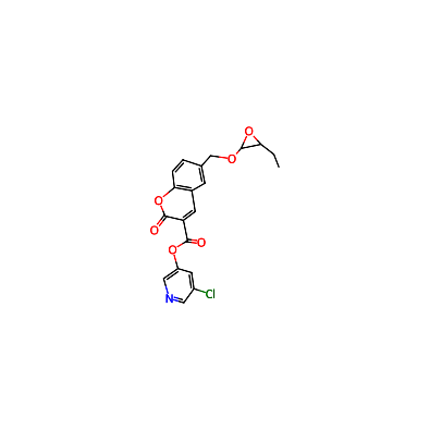 CCC1OC1OCc1ccc2oc(=O)c(C(=O)Oc3cncc(Cl)c3)cc2c1